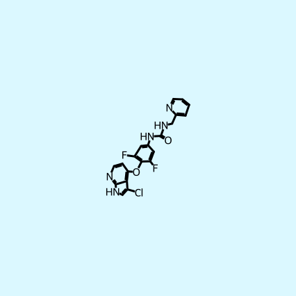 O=C(NCc1ccccn1)Nc1cc(F)c(Oc2ccnc3[nH]cc(Cl)c23)c(F)c1